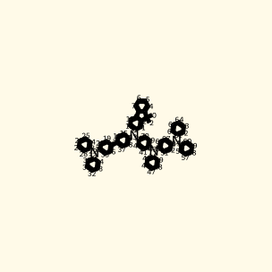 CC1(C)c2ccccc2-c2ccc(N(c3ccc(-c4ccc(N(c5ccccc5)c5ccccc5)cc4)cc3)c3ccc(N(c4ccccc4)c4ccc(N(c5ccccc5)c5ccccc5)cc4)cc3)cc21